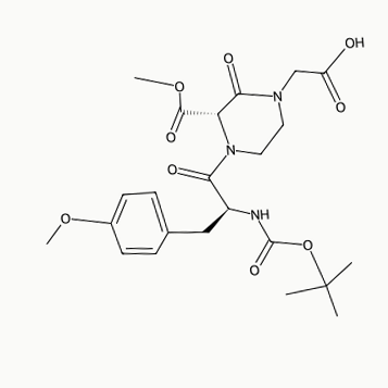 COC(=O)[C@@H]1C(=O)N(CC(=O)O)CCN1C(=O)[C@H](Cc1ccc(OC)cc1)NC(=O)OC(C)(C)C